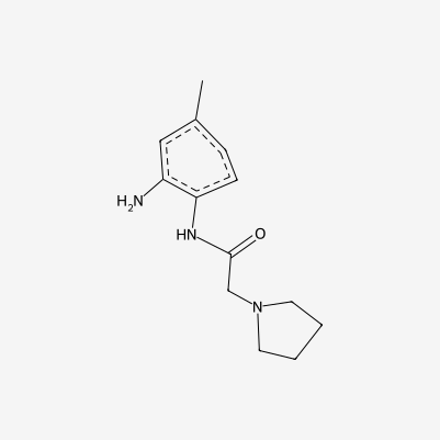 Cc1ccc(NC(=O)CN2CCCC2)c(N)c1